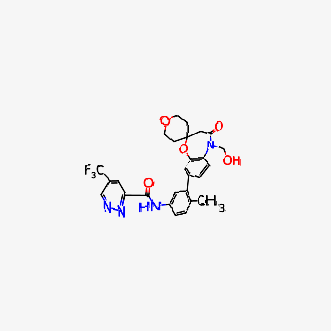 Cc1ccc(NC(=O)c2cc(C(F)(F)F)cnn2)cc1-c1ccc2c(c1)OC1(CCOCC1)CC(=O)N2CO